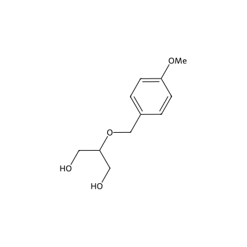 COc1ccc(COC(CO)CO)cc1